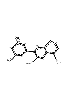 COc1cc2c(C)cccc2nc1-c1cc(C)cc(C)c1